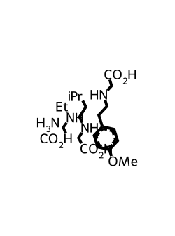 CC(C)CCNCC(=O)O.CCNCC(=O)O.COc1ccc(CCNCC(=O)O)cc1.N